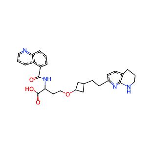 O=C(NC(CCOC1CC(CCc2ccc3c(n2)NCCC3)C1)C(=O)O)c1cccc2ncccc12